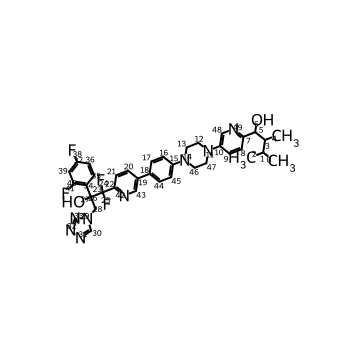 CC(C)C(C)C(O)c1ccc(N2CCN(c3ccc(-c4ccc(C(F)(F)C(O)(Cn5cnnn5)c5ccc(F)cc5F)nc4)cc3)CC2)cn1